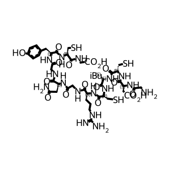 CC[C@H](C)[C@H](NC(=O)[C@H](CS)NC(=O)[C@H](CC(=O)O)NC(=O)CN)C(=O)N[C@@H](CS)C(=O)N[C@@H](CCCNC(=N)N)C(=O)NCC(=O)N[C@@H](CC(N)=O)C(=O)NCC(=O)N[C@@H](Cc1ccc(O)cc1)C(=O)N[C@@H](CS)C(=O)NCC(=O)O